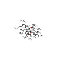 CCc1cc(CC)cc([SiH](c2cccc(C)c2C)C2(C)C(C)=C(C)C(C)=[C]2[Ti]([CH3])([CH3])[C]2=C(C)C(C)=C(C)C2(C)[SiH](c2cc(CC)cc(CC)c2)c2cccc(C)c2C)c1